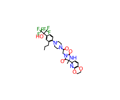 CCCc1cc(C(O)(C(F)(F)F)C(F)(F)F)ccc1N1CCN(C(=O)CN2C(=O)NC(C)(c3ccc4c(n3)OCCO4)C2=O)CC1